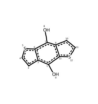 Oc1c2ccsc2c(O)c2ccsc12